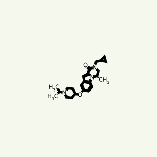 CC(C)N1CCC(Oc2ccc3c(c2)cc2n3[C@@H](C)CN(CC3CC3)C2=O)CC1